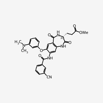 COC(=O)CC[C@H]1NC(=O)c2cc(Oc3cccc(N(C)C)c3)c(NC(=O)c3cccc(C#N)c3)cc2NC1=O